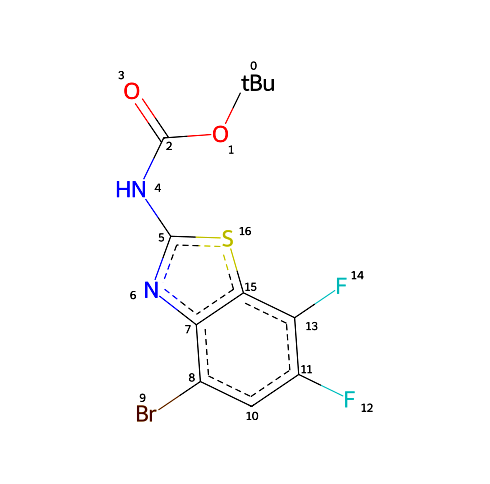 CC(C)(C)OC(=O)Nc1nc2c(Br)cc(F)c(F)c2s1